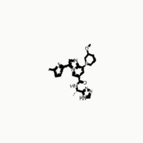 COC1CCCN(c2cc(C(=O)N[C@@H](C)c3nnc[nH]3)cn3c(-c4ccc(C)s4)cnc23)C1